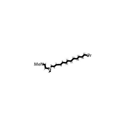 CNCCN(C)CCCCCCCCCCCCCC(C)C